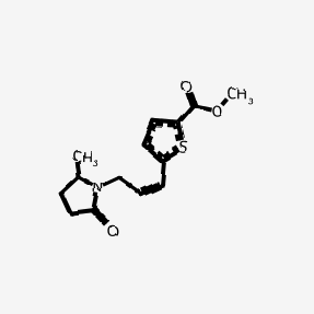 COC(=O)c1ccc(/C=C\CN2C(=O)CCC2C)s1